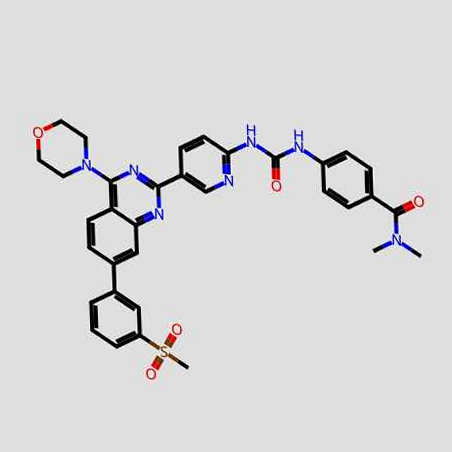 CN(C)C(=O)c1ccc(NC(=O)Nc2ccc(-c3nc(N4CCOCC4)c4ccc(-c5cccc(S(C)(=O)=O)c5)cc4n3)cn2)cc1